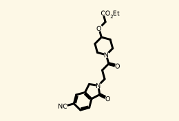 CCOC(=O)COC1CCN(C(=O)CCN2Cc3cc(C#N)ccc3C2=O)CC1